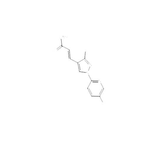 COC(=O)C=Cc1cn(-c2ccc(C(F)(F)F)cn2)nc1C(C)C